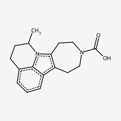 CC1CCc2cccc3c4c(n1c23)CCN(C(=O)O)CC4